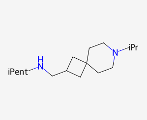 CCCC(C)NCC1CC2(CCN(C(C)C)CC2)C1